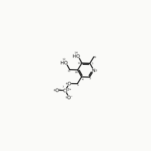 Cc1ncc(CO[Cl+2]([O-])[O-])c(CO)c1O